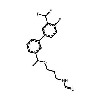 CC(OCCCNC=O)c1cncc(-c2ccc(F)c(C(F)F)c2)c1